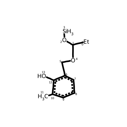 CCC(O[SiH3])OCc1cccc(C)c1O